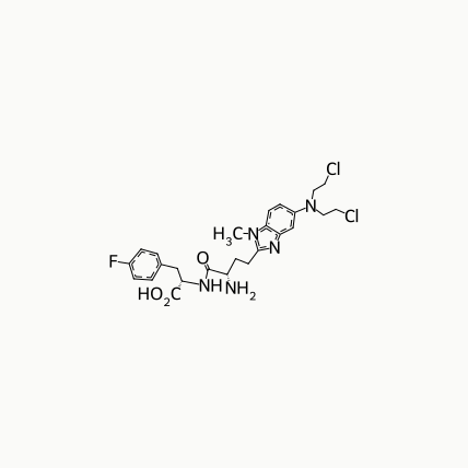 Cn1c(CC[C@H](N)C(=O)N[C@@H](Cc2ccc(F)cc2)C(=O)O)nc2cc(N(CCCl)CCCl)ccc21